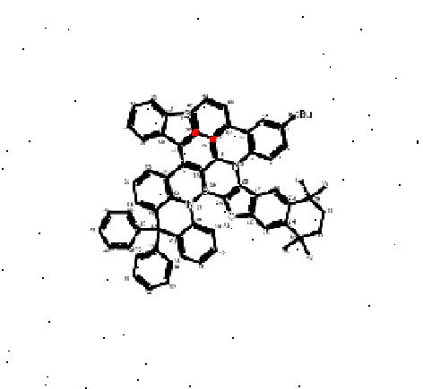 CC(C)(C)c1ccc(N2c3cc4sc5ccccc5c4c4c3B(c3oc5cc6c(cc5c32)C(C)(C)CCC6(C)C)N2c3ccccc3C(c3ccccc3)(c3ccccc3)c3cccc-4c32)c(-c2ccccc2)c1